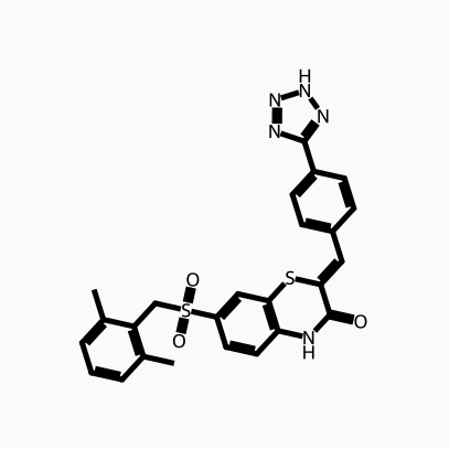 Cc1cccc(C)c1CS(=O)(=O)c1ccc2c(c1)S/C(=C\c1ccc(-c3nn[nH]n3)cc1)C(=O)N2